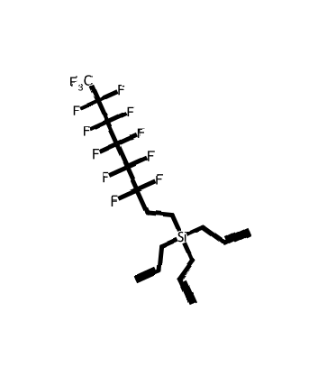 C=CC[Si](CC=C)(CC=C)CCC(F)(F)C(F)(F)C(F)(F)C(F)(F)C(F)(F)C(F)(F)F